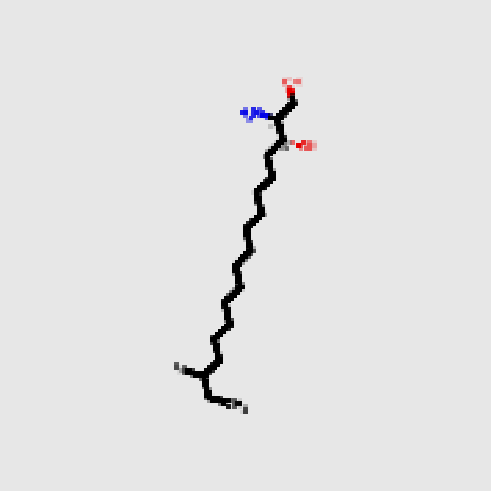 [2H]C(CC)CCCCCCCCCCCC[C@@H](O)[C@@H](N)CO